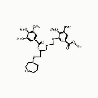 COc1cc(C(=O)OC(CCCOc2cc(C(=O)OC(C)(C)C)cc(OC)c2OC)CCN2CCCNCC2)cc(OC)c1OC